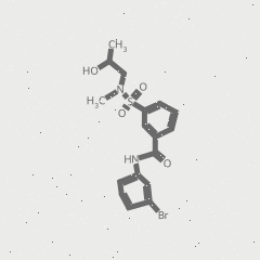 CC(O)CN(C)S(=O)(=O)c1cccc(C(=O)Nc2cccc(Br)c2)c1